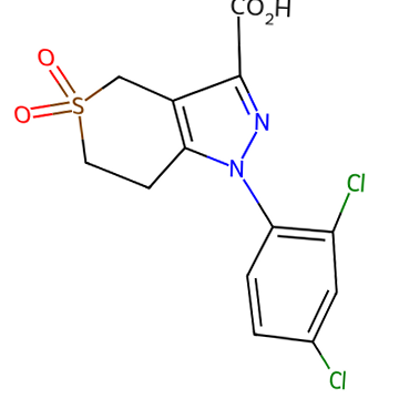 O=C(O)c1nn(-c2ccc(Cl)cc2Cl)c2c1CS(=O)(=O)CC2